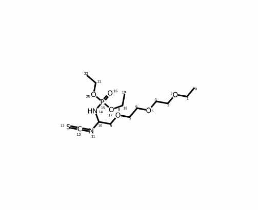 CCOCCOCCOCC(N=C=S)NP(=O)(OCC)OCC